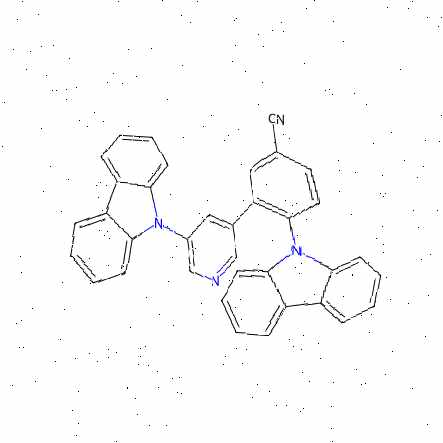 N#Cc1ccc(-n2c3ccccc3c3ccccc32)c(-c2cncc(-n3c4ccccc4c4ccccc43)c2)c1